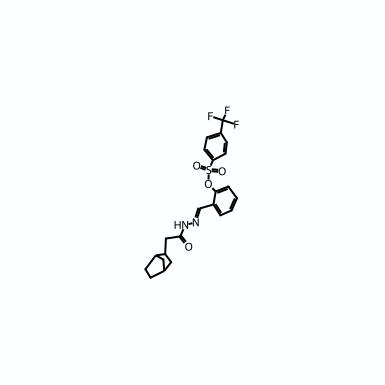 O=C(CC1CC2CCC1C2)N/N=C/c1ccccc1OS(=O)(=O)c1ccc(C(F)(F)F)cc1